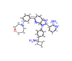 Nc1ncccc1-c1nc2ccc(-c3cccc(N4CCCOCC4)c3)nc2n1-c1ccc(C2(N)CCC2)cc1